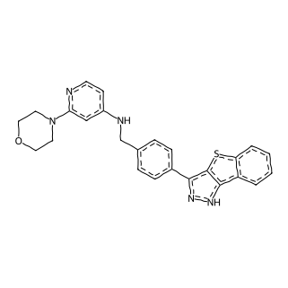 c1ccc2c(c1)sc1c(-c3ccc(CNc4ccnc(N5CCOCC5)c4)cc3)n[nH]c12